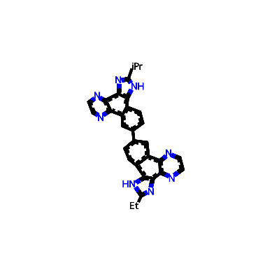 CCc1nc2c3nccnc3c3cc(-c4ccc5c(c4)c4nccnc4c4nc(C(C)C)[nH]c54)ccc3c2[nH]1